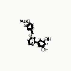 COc1ccc(COc2ccnc(-c3cc(O)cc(O)c3)n2)cc1